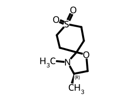 C[C@@H]1COC2(CCS(=O)(=O)CC2)N1C